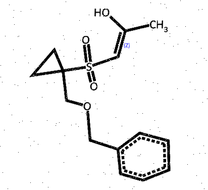 C/C(O)=C/S(=O)(=O)C1(COCc2ccccc2)CC1